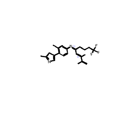 C=C(C)/C(C)=C/C(CCCC(F)(F)F)=N\c1ccc(C2=CN=C(C)C2)c(C)c1